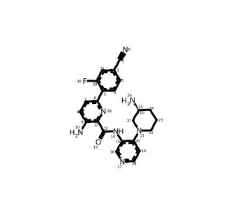 N#Cc1ccc(-c2ccc(N)c(C(=O)Nc3cnccc3N3CCC[C@H](N)C3)n2)c(F)c1